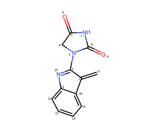 C=C1C(N2CC(=O)NC2=O)=Nc2ccccc21